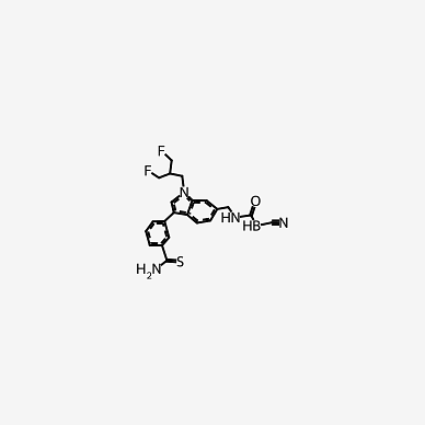 N#CBC(=O)NCc1ccc2c(-c3cccc(C(N)=S)c3)cn(CC(CF)CF)c2c1